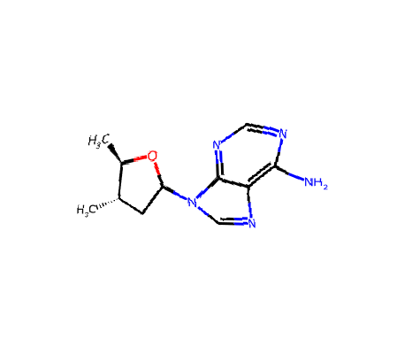 C[C@H]1CC(n2cnc3c(N)ncnc32)O[C@@H]1C